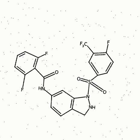 O=C(Nc1ccc2c(c1)N(S(=O)(=O)c1ccc(F)c(C(F)(F)F)c1)NC2)c1c(F)cccc1F